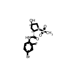 CS(=O)(=O)N1C[C@H](O)C[C@H]1C(=O)Nc1ccc(Br)cc1F